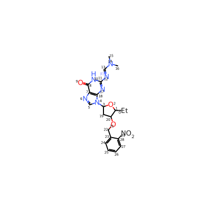 CCC1OC(n2cnc3c(=O)[nH]c(/N=C/N(C)C)nc32)CC1OCc1ccccc1[N+](=O)[O-]